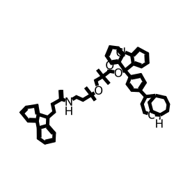 C=C(CCC1c2ccccc2-c2ccccc21)NCCC(C)(C)OCC(C)(C)C(=O)OC(c1ccccc1)(c1ccc(C2CCC[C@@H]3CCCC2CC3)cc1)c1ccccc1Cl